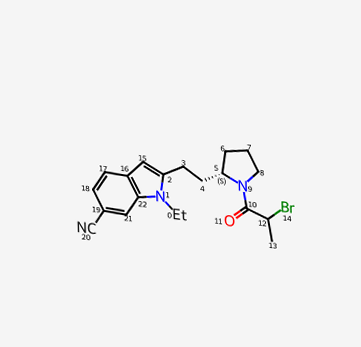 CCn1c(CC[C@@H]2CCCN2C(=O)C(C)Br)cc2ccc(C#N)cc21